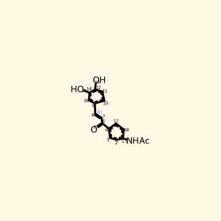 CC(=O)Nc1ccc(C(=O)/C=C/c2ccc(O)c(O)c2)cc1